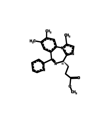 COC(=O)CC[C@@H]1N=C(c2ccccn2)c2cc(C)c(C)cc2-n2c(C)cnc21